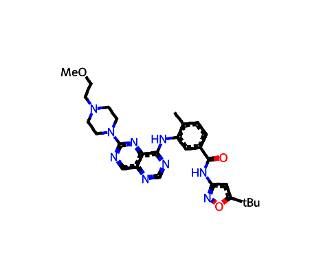 COCCN1CCN(c2ncc3ncnc(Nc4cc(C(=O)Nc5cc(C(C)(C)C)on5)ccc4C)c3n2)CC1